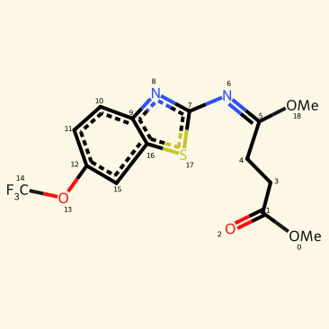 COC(=O)CCC(=Nc1nc2ccc(OC(F)(F)F)cc2s1)OC